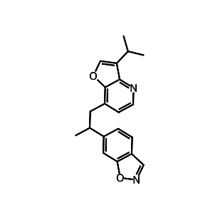 CC(C)c1coc2c(CC(C)c3ccc4cnoc4c3)ccnc12